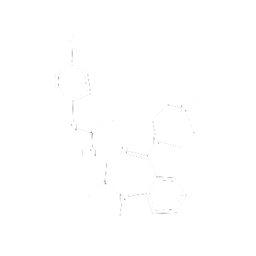 CN1CCN(C2=N[C@@H](NC(=O)Nc3ccc(Cl)cc3)C(=O)N(C)c3ccccc32)CC1